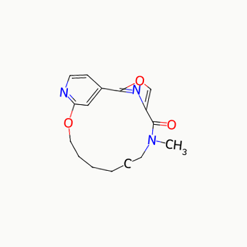 CN1CCCCCCOc2cc(ccn2)-c2nc(co2)C1=O